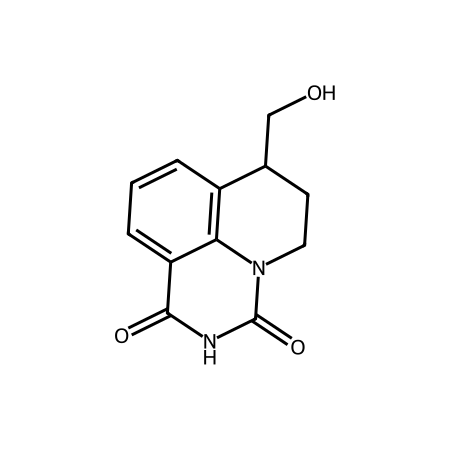 O=c1[nH]c(=O)n2c3c(cccc13)C(CO)CC2